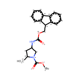 CC(C)(C)OC(=O)N1CC(NC(=O)OCC2c3ccccc3-c3ccccc32)CC1C(=O)O